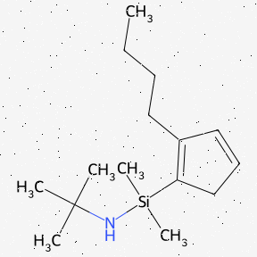 CCCCC1=C([Si](C)(C)NC(C)(C)C)CC=C1